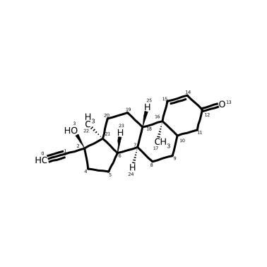 C#C[C@@]1(O)CC[C@H]2[C@@H]3CCC4CC(=O)C=C[C@]4(C)[C@H]3CC[C@@]21C